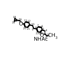 CC(=O)N[C@H](C)[C@@H]1Cc2ccc(CCc3ccc(OCC4CC4)cc3)cc2O1